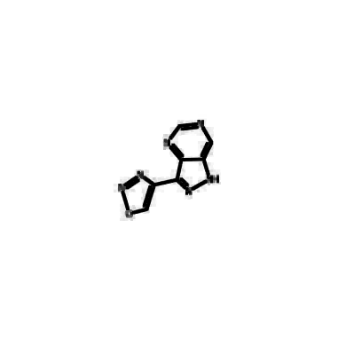 c1ncc2[nH]nc(-c3conn3)c2n1